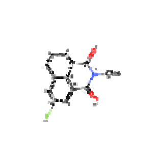 CON1C(=O)c2cccc3cc(F)cc(c23)C1=O